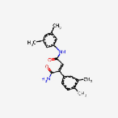 Cc1cc(C)cc(NC(=O)/C=C(\C(N)=O)c2ccc(C)c(C)c2)c1